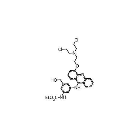 CCOC(=O)Nc1cc(CO)cc(Nc2c3ccccc3nc3c(OCCN(CCCl)CCCl)cccc23)c1